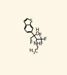 CCNC(C(F)(F)F)C(O)(CF)c1ccc2ccsc2c1